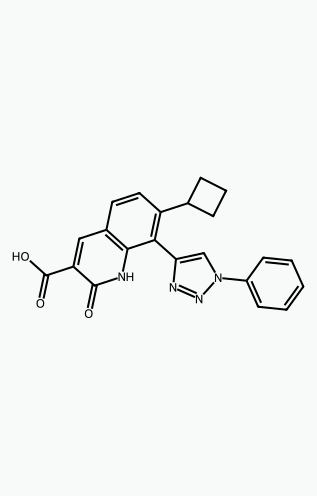 O=C(O)c1cc2ccc(C3CCC3)c(-c3cn(-c4ccccc4)nn3)c2[nH]c1=O